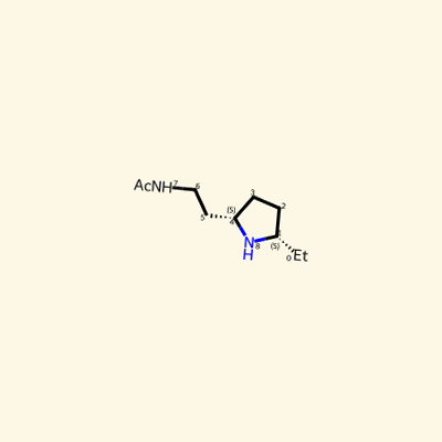 CC[C@H]1CC[C@@H](CCNC(C)=O)N1